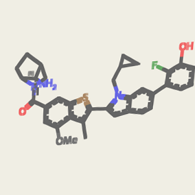 COc1cc(C(=O)N2CC3CCC2[C@@H]3N)cc2sc(-c3cc4ccc(-c5cccc(O)c5F)cc4n3CC3CC3)c(C)c12